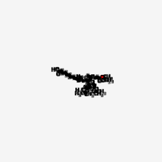 CC(C)(C)OC(=O)CCO[C@H]1[C@H](OCCC(=O)OC(C)(C)C)[C@@H](Cn2cc(CCCCCCCCC(=O)O)nn2)OC[C@@H]1OCCC(=O)OC(C)(C)C